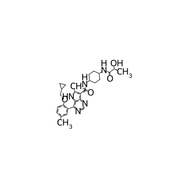 Cc1ccc(OCC2CC2)c(-c2ncnc3c(C(=O)NC4CCC(NC(=O)[C@H](C)O)CC4)c(C)[nH]c23)c1